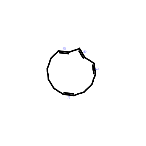 [C]1=C/C=C\CC/C=C\CCCC/C=C/1